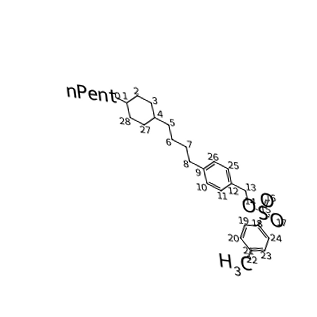 CCCCCC1CCC(CCCCc2ccc(COS(=O)(=O)c3ccc(C)cc3)cc2)CC1